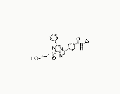 O=C(NC1CC1)c1ccc(-c2cnc3c([S+]([O-])CCCCO)nc(-c4ccccc4)cn23)cc1